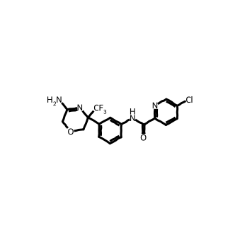 NC1=NC(c2cccc(NC(=O)c3ccc(Cl)cn3)c2)(C(F)(F)F)COC1